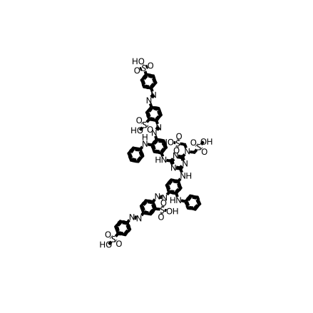 O=S(=O)(O)CN(CS(=O)(=O)O)c1nc(Nc2ccc(N=Nc3ccc(N=Nc4ccc(S(=O)(=O)O)cc4)cc3S(=O)(=O)O)c(Nc3ccccc3)c2)nc(Nc2ccc(N=Nc3ccc(N=Nc4ccc(S(=O)(=O)O)cc4)cc3S(=O)(=O)O)c(Nc3ccccc3)c2)n1